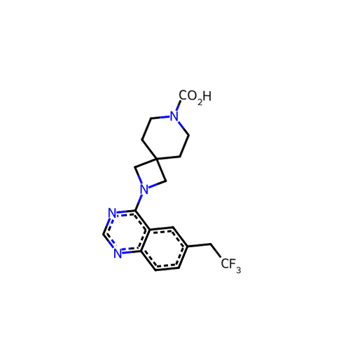 O=C(O)N1CCC2(CC1)CN(c1ncnc3ccc(CC(F)(F)F)cc13)C2